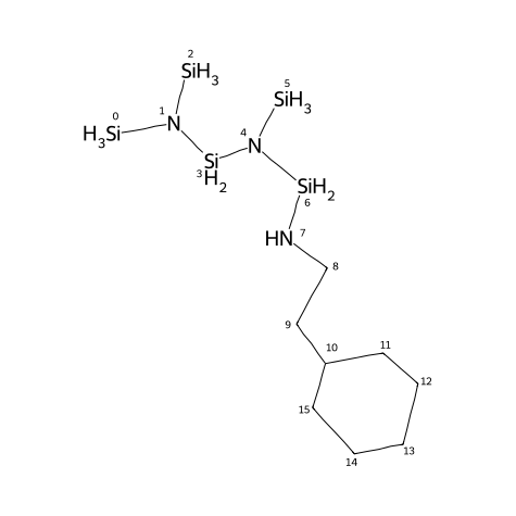 [SiH3]N([SiH3])[SiH2]N([SiH3])[SiH2]NCCC1CCCCC1